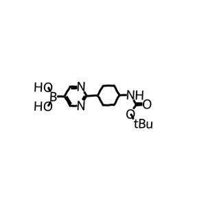 CC(C)(C)OC(=O)NC1CCC(c2ncc(B(O)O)cn2)CC1